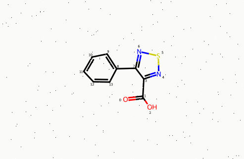 O=C(O)c1nsnc1-c1ccccc1